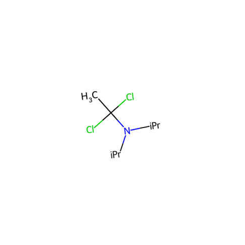 CC(C)N(C(C)C)C(C)(Cl)Cl